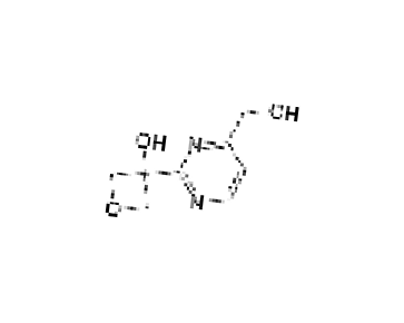 OCc1ccnc(C2(O)COC2)n1